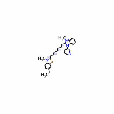 CCc1ccc2c(c1)S\C(=C/C=C/C=C/C=C/c1n(-c3cccnc3)c3ccccc3[n+]1C)N2C